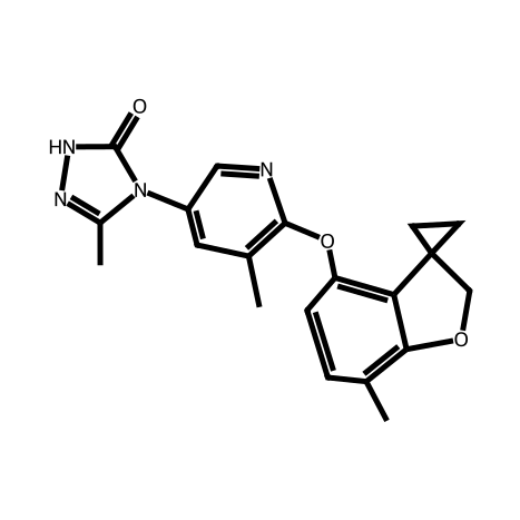 Cc1cc(-n2c(C)n[nH]c2=O)cnc1Oc1ccc(C)c2c1C1(CC1)CO2